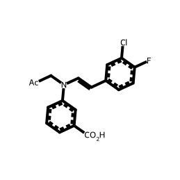 CC(=O)CN(C=Cc1ccc(F)c(Cl)c1)c1cccc(C(=O)O)c1